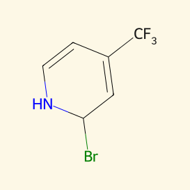 FC(F)(F)C1=CC(Br)NC=C1